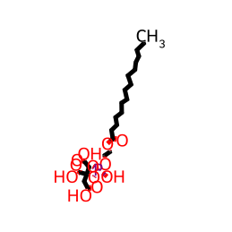 CCCCCCCCCCCCCCCC(=O)OCCOP(=O)(O)OC(CC(=O)O)(CC(=O)O)C(=O)O